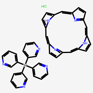 C1=Cc2cc3ccc(cc4nc(cc5ccc(cc1n2)[nH]5)C=C4)[nH]3.Cl.c1cnc[c]([Al-]([c]2cccnc2)([c]2cccnc2)[c]2cccnc2)c1